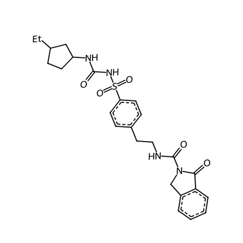 CCC1CCC(NC(=O)NS(=O)(=O)c2ccc(CCNC(=O)N3Cc4ccccc4C3=O)cc2)C1